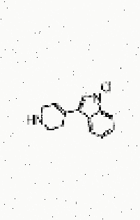 Cln1cc(C2=CCNCC2)c2ccccc21